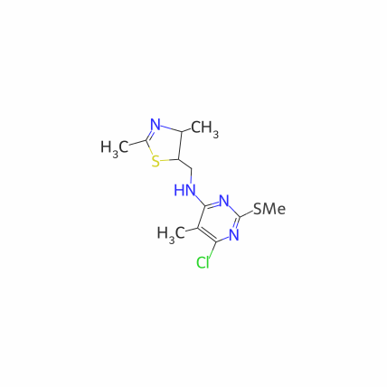 CSc1nc(Cl)c(C)c(NCC2SC(C)=NC2C)n1